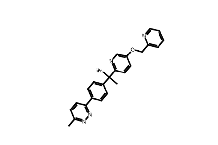 Cc1ccc(-c2ccc(C(C)(c3ccc(OCc4ccccn4)cn3)C(C)C)cc2)nn1